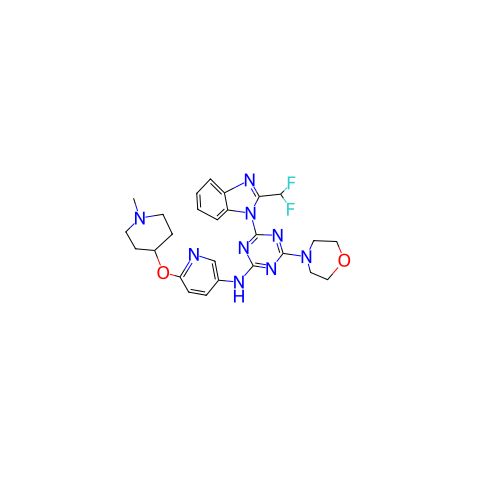 CN1CCC(Oc2ccc(Nc3nc(N4CCOCC4)nc(-n4c(C(F)F)nc5ccccc54)n3)cn2)CC1